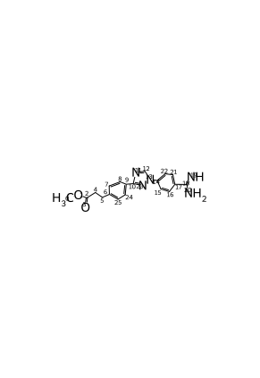 COC(=O)CCc1ccc(-c2ncn(-c3ccc(C(=N)N)cc3)n2)cc1